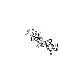 C=C(C)[C@@H]1CC[C@]2(C)S[P@@](=S)(O[C@H]3C[C@H](n4cc(C)c(=O)[nH]c4=O)O[C@@H]3CC)O[C@H]2C1